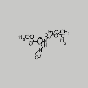 COC(=O)c1ccc(NC(=O)CC(=O)OC(C)(C)C)c(CN2CCOCC2)c1